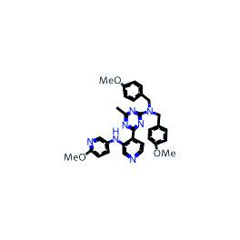 COc1ccc(CN(Cc2ccc(OC)cc2)c2nc(C)nc(-c3ccncc3Nc3ccc(OC)nc3)n2)cc1